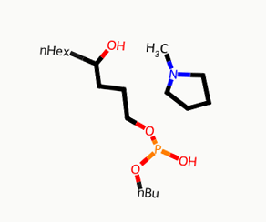 CCCCCCC(O)CCCOP(O)OCCCC.CN1CCCC1